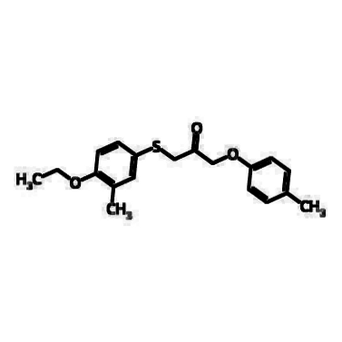 CCOc1ccc(SCC(=O)COc2ccc(C)cc2)cc1C